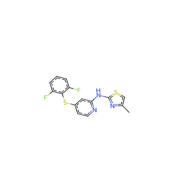 Cc1csc(Nc2cc(Sc3c(F)cccc3F)ccn2)n1